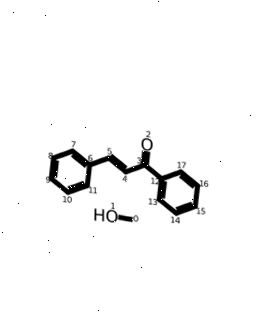 CO.O=C(C=Cc1ccccc1)c1ccccc1